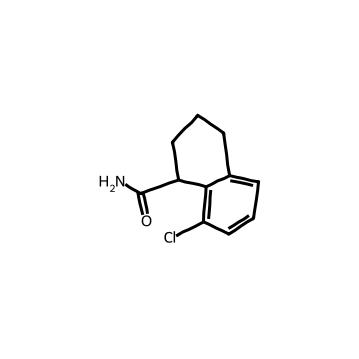 NC(=O)C1CCCc2cccc(Cl)c21